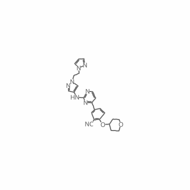 N#Cc1cc(-c2ccnc(Nc3cnn(CCn4cccn4)c3)n2)ccc1OC1CCOCC1